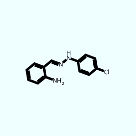 Nc1ccccc1C=NNc1ccc(Cl)cc1